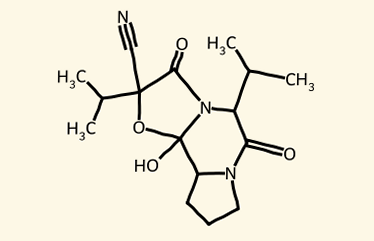 CC(C)C1C(=O)N2CCCC2C2(O)OC(C#N)(C(C)C)C(=O)N12